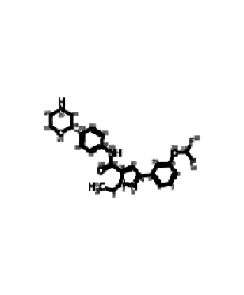 CCn1nc(-c2cccc(OC(F)F)c2)cc1C(=O)Nc1ccc([C@H]2CNCCO2)cc1